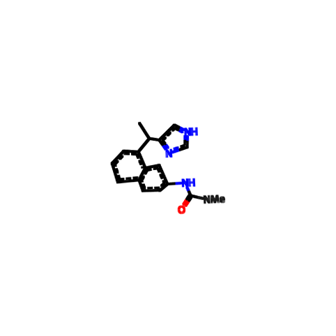 CNC(=O)Nc1ccc2cccc(C(C)c3c[nH]cn3)c2c1